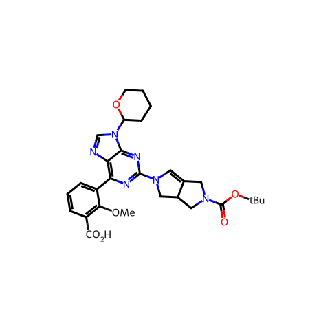 COc1c(C(=O)O)cccc1-c1nc(N2C=C3CN(C(=O)OC(C)(C)C)CC3C2)nc2c1ncn2C1CCCCO1